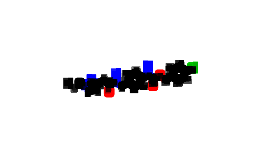 Cn1ccc(CC(=O)NCc2ccc(NC(=O)OCc3ccc(Cl)cc3)cc2)n1